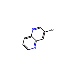 CC(=O)c1cnc2cccnc2c1